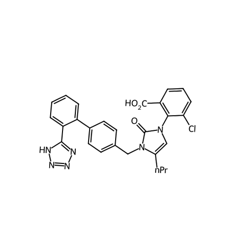 CCCc1cn(-c2c(Cl)cccc2C(=O)O)c(=O)n1Cc1ccc(-c2ccccc2-c2nnn[nH]2)cc1